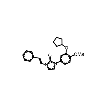 COc1ccc(-n2ccn(C=Cc3ccccc3)c2=O)cc1OC1CCCC1